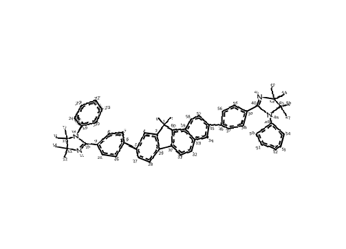 CC1(C)c2cc(-c3ccc(C4=NC(C)(C)C(C)(C)N4c4ccccc4)cc3)ccc2-c2ccc3cc(-c4ccc(C5=NC(C)(C)C(C)(C)N5c5ccccc5)cc4)ccc3c21